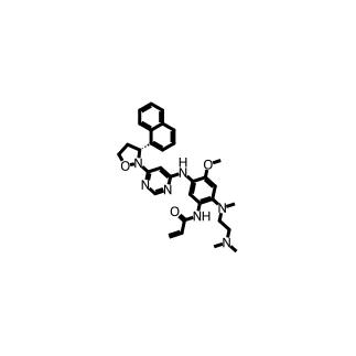 C=CC(=O)Nc1cc(Nc2cc(N3OCC[C@@H]3c3cccc4ccccc34)ncn2)c(OC)cc1N(C)CCN(C)C